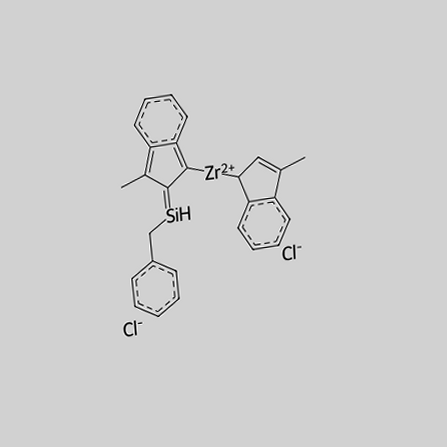 CC1=C[CH]([Zr+2][C]2=c3ccccc3=C(C)C2=[SiH]Cc2ccccc2)c2ccccc21.[Cl-].[Cl-]